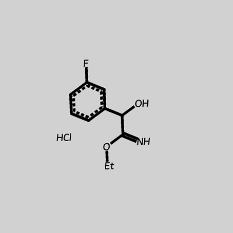 CCOC(=N)C(O)c1cccc(F)c1.Cl